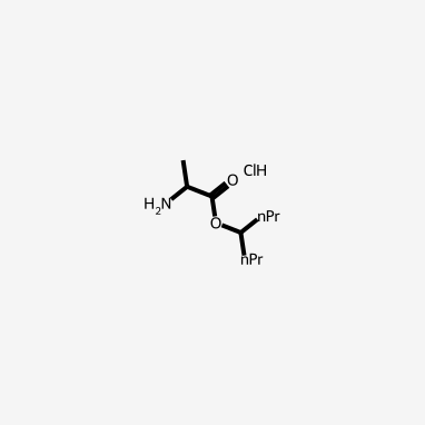 CCCC(CCC)OC(=O)C(C)N.Cl